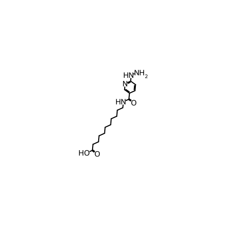 NNc1ccc(C(=O)NCCCCCCCCCCC(=O)O)cn1